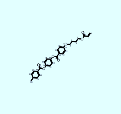 C=CC(=O)OCCCCOc1ccc(C(=O)Oc2ccc(OC(=O)c3ccc(C)cc3)cc2)cc1